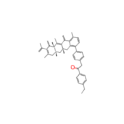 C=C(C)C1=C(C)C[C@@]2(C)C[C@@]3(C)Cc4c(-c5ccc(CC(=O)c6ccc(CC)cc6)cc5)ccc(C)c4C(=C)C3=C(C)[C@@]2(C)C1=C